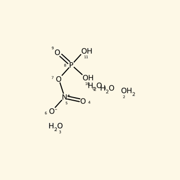 O.O.O.O.O=[N+]([O-])OP(=O)(O)O